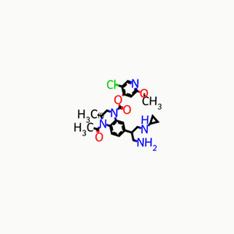 COc1cc(OC(=O)N2C[C@H](C)N(C(C)=O)c3ccc(C(CN)CNC4CC4)cc32)c(Cl)cn1